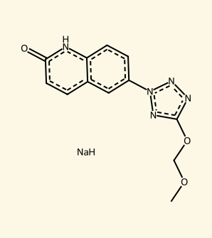 COCOc1nnn(-c2ccc3[nH]c(=O)ccc3c2)n1.[NaH]